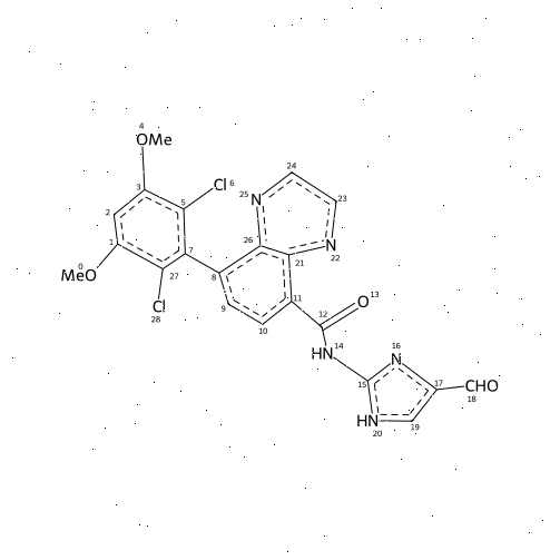 COc1cc(OC)c(Cl)c(-c2ccc(C(=O)Nc3nc(C=O)c[nH]3)c3nccnc23)c1Cl